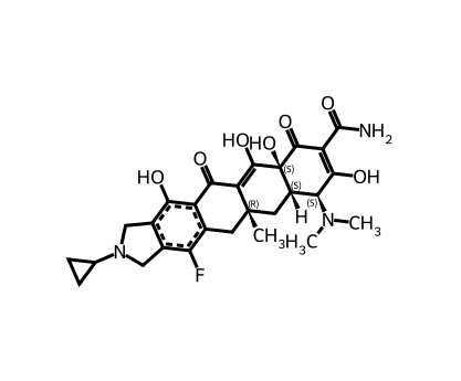 CN(C)[C@@H]1C(O)=C(C(N)=O)C(=O)[C@@]2(O)C(O)=C3C(=O)c4c(O)c5c(c(F)c4C[C@@]3(C)C[C@@H]12)CN(C1CC1)C5